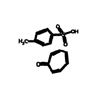 Cc1ccc(S(=O)(=O)O)cc1.O=c1cccccc1